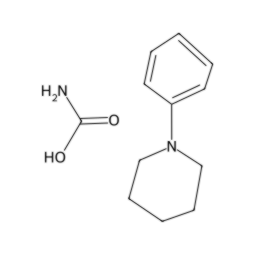 NC(=O)O.c1ccc(N2CCCCC2)cc1